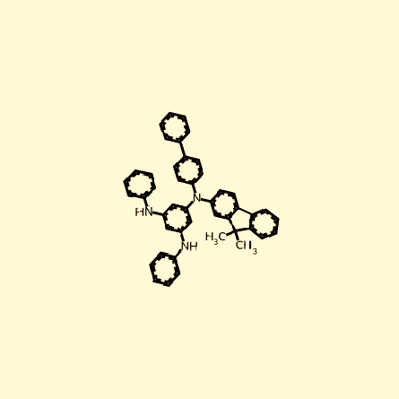 CC1(C)c2ccccc2-c2ccc(N(c3ccc(-c4ccccc4)cc3)c3cc(Nc4ccccc4)cc(Nc4ccccc4)c3)cc21